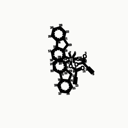 C#CC(=O)[O][Ti]([CH3])([CH3])(=[SiH2])([O]C(=O)C#C)([c]1cccc2c1Cc1ccccc1-2)[c]1cccc2c1Cc1ccccc1-2